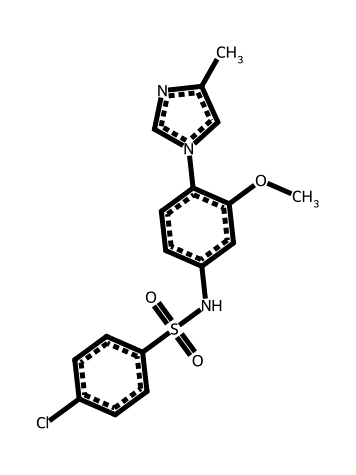 COc1cc(NS(=O)(=O)c2ccc(Cl)cc2)ccc1-n1cnc(C)c1